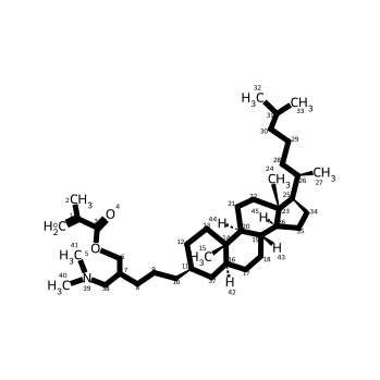 C=C(C)C(=O)OCC(CCC[C@H]1CC[C@@]2(C)[C@@H](CC[C@@H]3[C@@H]2CC[C@]2(C)[C@@H]([C@H](C)CCCC(C)C)CC[C@@H]32)C1)CN(C)C